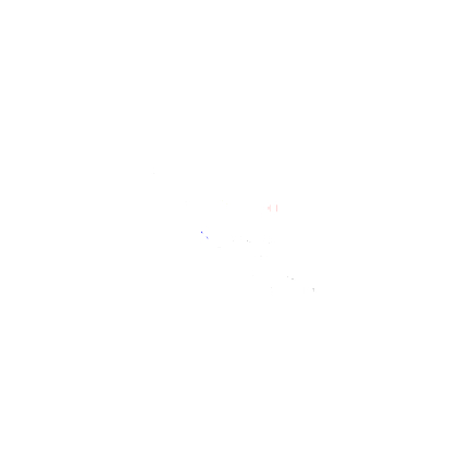 CCc1cc(C)c(-c2c(O)sc(-c3ccccc3)nc2=O)c(C)c1